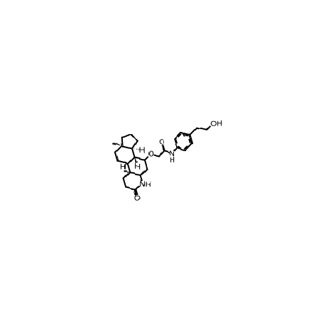 C[C@@]12CCC[C@H]1[C@@H]1C(OCC(=O)Nc3ccc(CCO)cc3)CC3NC(=O)CC[C@]3(C)[C@@H]1CC2